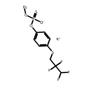 CCOP([O-])(=S)Oc1ccc(SCC(F)(F)C(F)F)cc1.[K+]